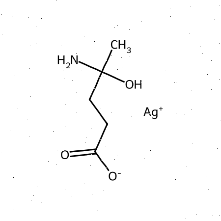 CC(N)(O)CCC(=O)[O-].[Ag+]